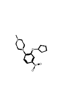 CN1CCN(c2ccc([N+](=O)[O-])cc2OC2CCCC2)CC1